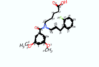 COc1cc(OC)cc(C(=O)N(CCCCC(=O)O)CCCc2ccccc2F)c1